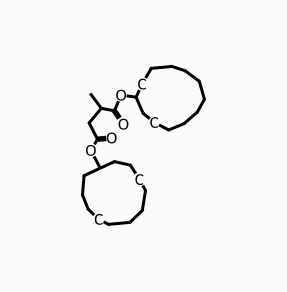 CC(CC(=O)OC1CCCCCCCCCCC1)C(=O)OC1CCCCCCCCCCC1